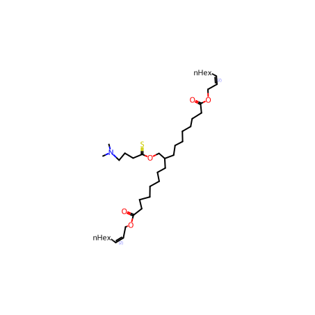 CCCCCC/C=C\COC(=O)CCCCCCCC(CCCCCCCC(=O)OC/C=C\CCCCCC)COC(=S)CCCN(C)C